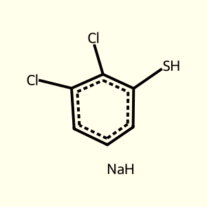 Sc1cccc(Cl)c1Cl.[NaH]